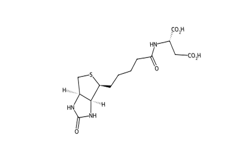 O=C(O)C[C@H](NC(=O)CCCC[C@@H]1SC[C@@H]2NC(=O)N[C@@H]21)C(=O)O